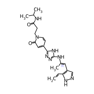 C=Cc1[nH]ncc1/C=C(\C)Nc1nnc(-c2ccn(CCC(=O)NC(C)C)c(=O)c2)[nH]1